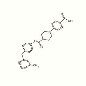 Cc1ccnc(Cc2ccc(OC(=O)N3CCN(c4ccc(C(=O)O)cn4)CC3)cc2)c1